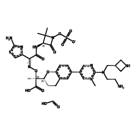 C[n+]1cc(-c2ccc3c(c2)CC[C@H]([C@](C)(O/N=C(\C(=O)N[C@@H]2C(=O)N(OS(=O)(=O)[O-])C2(C)C)c2csc(N)n2)C(=O)O)O3)cnc1N(CCN)CC1CNC1.O=CO